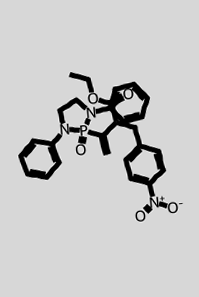 C=C(C(Cc1ccc([N+](=O)[O-])cc1)C(=O)OCC)P1(=O)N(c2ccccc2)CCN1c1ccccc1